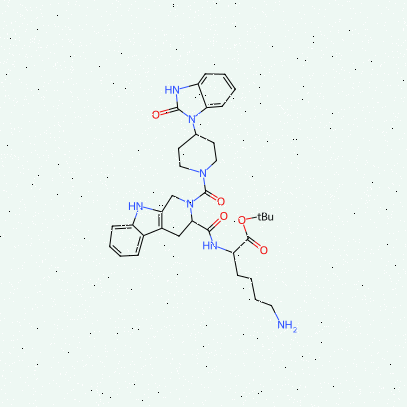 CC(C)(C)OC(=O)C(CCCCN)NC(=O)C1Cc2c([nH]c3ccccc23)CN1C(=O)N1CCC(n2c(=O)[nH]c3ccccc32)CC1